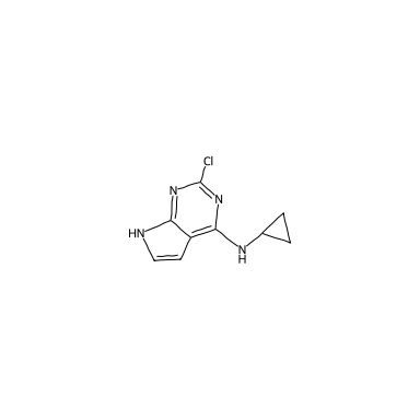 Clc1nc(NC2CC2)c2cc[nH]c2n1